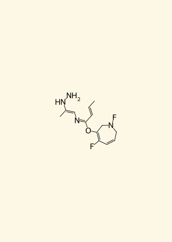 C/C=C/C(=N\C=C(/C)NN)OC1=C(F)C=CCN(F)C1